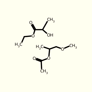 CCOC(=O)C(C)O.COCC(C)OC(C)=O